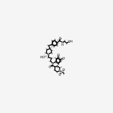 CS(=O)(=O)N1CCC(C(=O)N(CCCN2CCC(Cc3ccc(C(=O)NCCO)cc3)CC2)c2ccc(Cl)c(Cl)c2)CC1.Cl